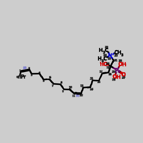 CCC/C=C\CCCCCCCC/C=C\CCCCCCC(O)(C[N+](C)(C)C)P(=O)(O)O